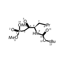 COP(=O)(CC(=O)[C@@H](CC(C)C)NC(=O)OC(C)(C)C)OC